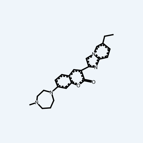 CCc1ccc2nc(-c3cc4ccc(N5CCCN(C)CC5)cc4oc3=O)cn2c1